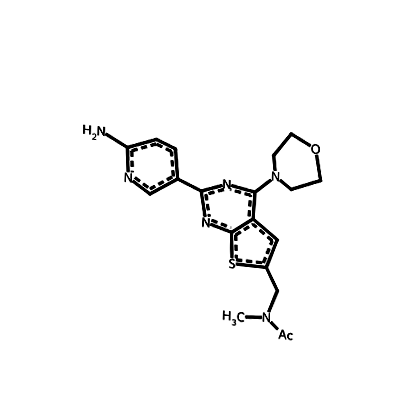 CC(=O)N(C)Cc1cc2c(N3CCOCC3)nc(-c3ccc(N)nc3)nc2s1